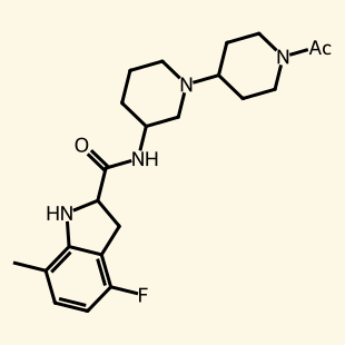 CC(=O)N1CCC(N2CCCC(NC(=O)C3Cc4c(F)ccc(C)c4N3)C2)CC1